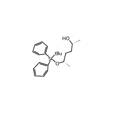 C[C@@H](O)CC[C@H](C)O[Si](c1ccccc1)(c1ccccc1)C(C)(C)C